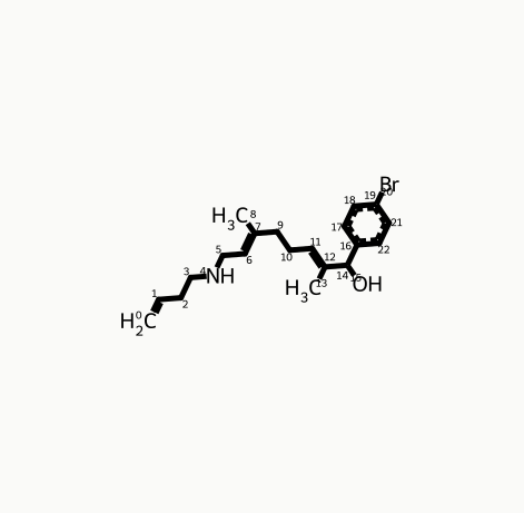 C=CCCNCC=C(C)CCC=C(C)C(O)c1ccc(Br)cc1